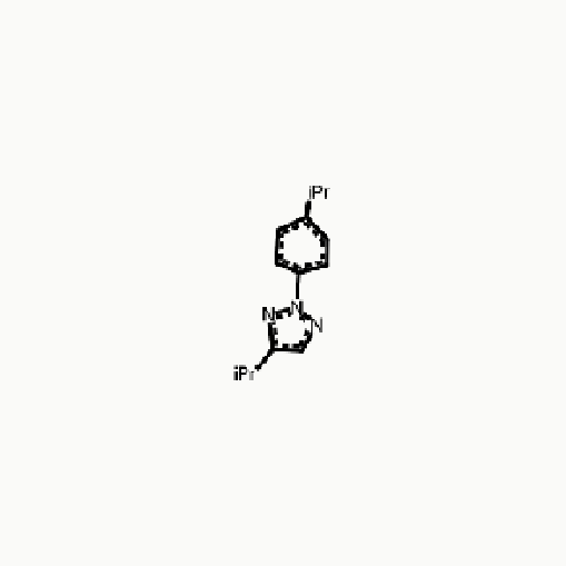 CC(C)c1ccc(-n2ncc(C(C)C)n2)cc1